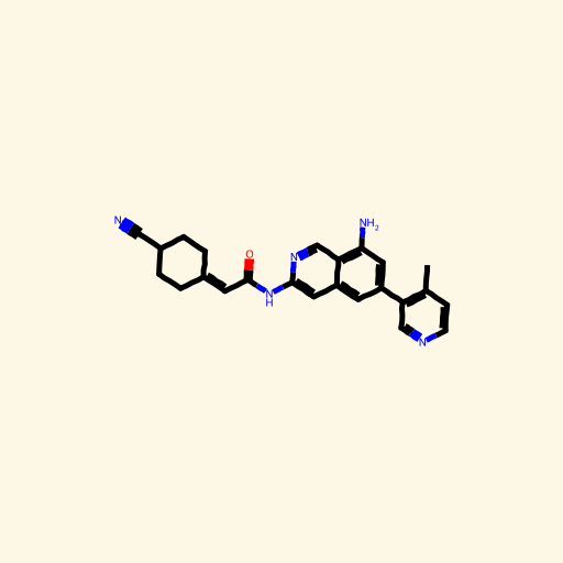 Cc1ccncc1-c1cc(N)c2cnc(NC(=O)C=C3CCC(C#N)CC3)cc2c1